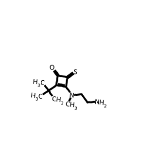 CN(CCN)c1c(C(C)(C)C)c(=O)c1=S